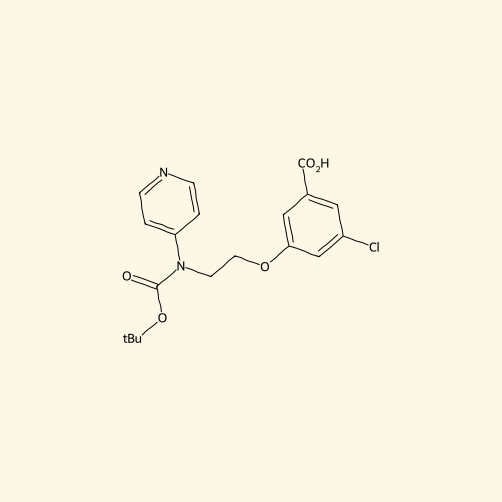 CC(C)(C)OC(=O)N(CCOc1cc(Cl)cc(C(=O)O)c1)c1ccncc1